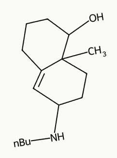 CCCCNC1C=C2CCCC(O)C2(C)CC1